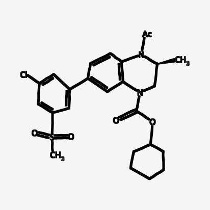 CC(=O)N1c2ccc(-c3cc(Cl)cc(S(C)(=O)=O)c3)cc2N(C(=O)OC2CCCCC2)C[C@@H]1C